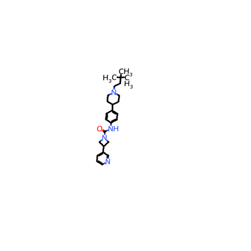 CC(C)(C)CCN1CCC(c2ccc(NC(=O)N3CC(c4cccnc4)C3)cc2)CC1